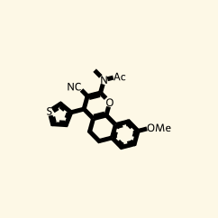 COc1ccc2c(c1)C1=C(CC2)C(c2ccsc2)C(C#N)=C(N(C)C(C)=O)O1